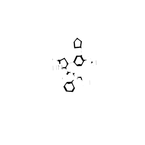 CCN(OC(=O)[C@H]1NC(=O)C[C@H]1c1ccc(OC)c(OC2CCCC2)c1)c1ccccc1